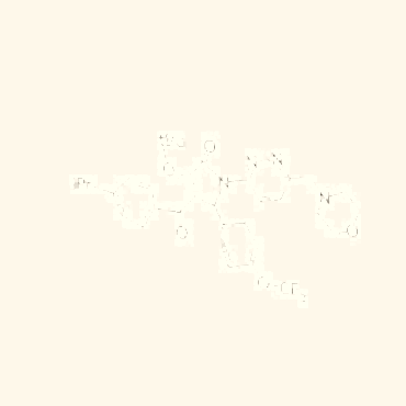 CC(C)c1ccc(C(=O)C2=C(OC(C)(C)C)C(=O)N(c3ccc(CN4CCOCC4)nn3)C2c2ccc(OC(F)(F)F)cc2)cc1